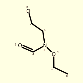 CCON(C=O)CC[O]